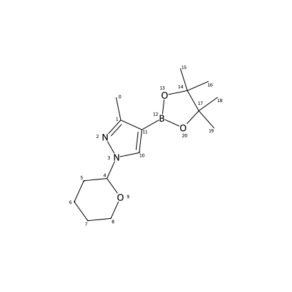 Cc1nn(C2CCCCO2)cc1B1OC(C)(C)C(C)(C)O1